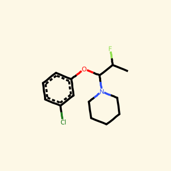 CC(F)C(Oc1cccc(Cl)c1)N1CCCCC1